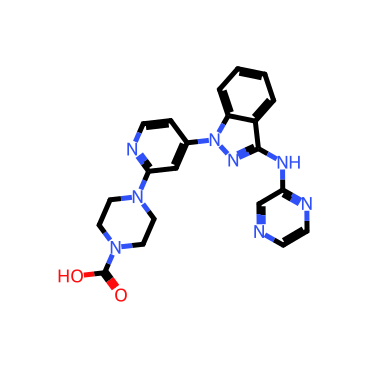 O=C(O)N1CCN(c2cc(-n3nc(Nc4cnccn4)c4ccccc43)ccn2)CC1